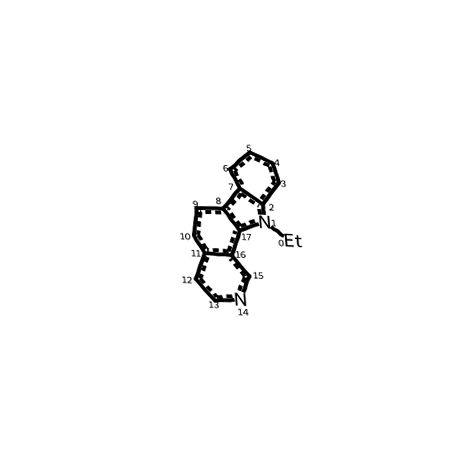 CCn1c2ccccc2c2ccc3ccncc3c21